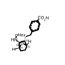 CCCCCCN[C@H]1[C@H](CCc2ccc(C(=O)O)cc2)[C@@H]2CC[C@H]1O2